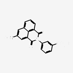 O=C(O)c1cccc(N2C(=O)c3cccc4cc([N+](=O)[O-])cc(c34)C2=O)c1